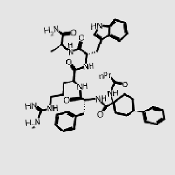 CCCC(=O)N[C@]1(C(=O)N[C@H](Cc2ccccc2)C(=O)N[C@@H](CCCNC(=N)N)C(=O)N[C@@H](Cc2c[nH]c3ccccc23)C(=O)N[C@@H](C)C(N)=O)CC[C@H](c2ccccc2)CC1